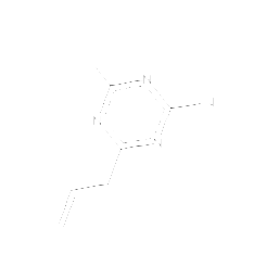 C=CCc1nc(S)nc(S)n1